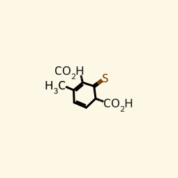 CC1=C(C(=O)O)C(=S)C(C(=O)O)C=C1